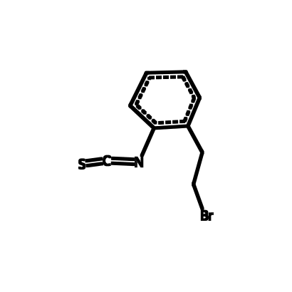 S=C=Nc1ccccc1CCBr